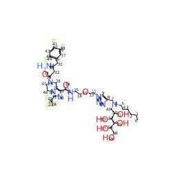 CCCCCCN(Cc1cn(CCOCCNC(=O)c2nc(C(F)(F)F)n3c2CN(C(=O)CC(N)Cc2cc(F)c(F)cc2F)CC3)nn1)CC(O)C(O)C(O)C(O)CO